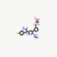 CNC(=O)c1c(-c2ccc(F)cc2)oc2nc(NCC(F)(F)F)c(-c3cccc(C(=O)NC(C)(C)C(=O)OC)c3)cc12